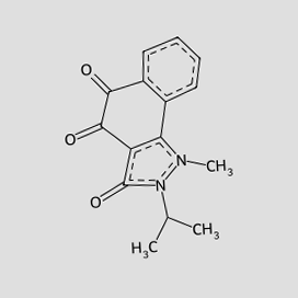 CC(C)n1c(=O)c2c(n1C)-c1ccccc1C(=O)C2=O